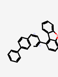 C/C=C(\C=C/c1ccc(-c2ccccc2)cc1)c1cccc2oc3ccccc3c12